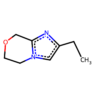 CCc1cn2c(n1)COCC2